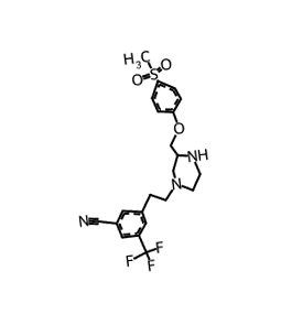 CS(=O)(=O)c1ccc(OCC2CN(CCc3cc(C#N)cc(C(F)(F)F)c3)CCN2)cc1